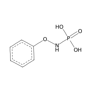 O=P(O)(O)NOc1ccccc1